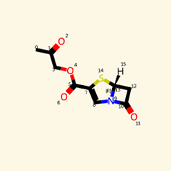 CC(=O)COC(=O)C1=CN2C(=O)C[C@H]2S1